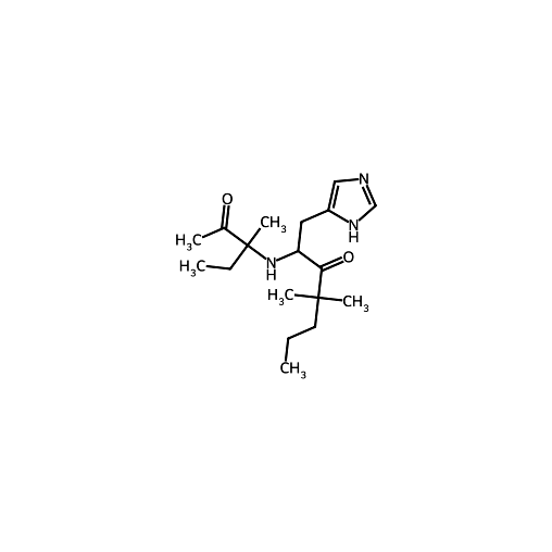 CCCC(C)(C)C(=O)C(Cc1cnc[nH]1)NC(C)(CC)C(C)=O